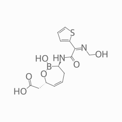 O=C(O)C[C@H]1C=CC[C@H](NC(=O)/C(=N\CO)c2cccs2)B(O)O1